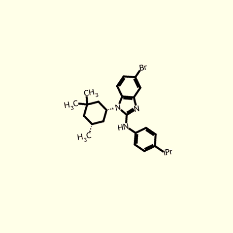 CC(C)c1ccc(Nc2nc3cc(Br)ccc3n2[C@@H]2C[C@H](C)CC(C)(C)C2)cc1